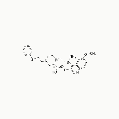 COc1ccc2ncc(F)c([C@@H](N)CC[C@H]3CCN(CCSc4ccccc4)C[C@H]3C(=O)O)c2c1